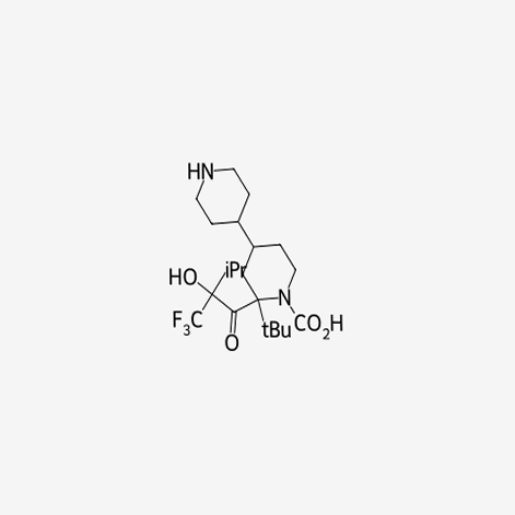 CC(C)C(O)(C(=O)C1(C(C)(C)C)CC(C2CCNCC2)CCN1C(=O)O)C(F)(F)F